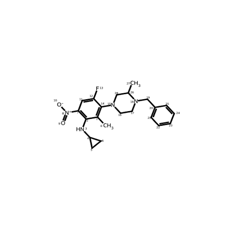 Cc1c(NC2CC2)c([N+](=O)[O-])cc(F)c1N1CCN(Cc2ccccc2)C(C)C1